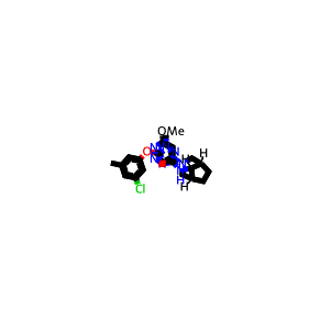 COc1cc(N2C[C@H]3CC[C@@H](C2)[C@H]3Nc2nc(Oc3cc(C)cc(Cl)c3)n(C)n2)cnn1